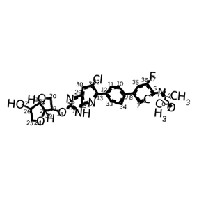 CS(C)(=O)=Nc1ccc(-c2ccc(-c3nc4[nH]c(O[C@@H]5CO[C@H]6[C@@H]5OC[C@H]6O)nc4cc3Cl)cc2)cc1F